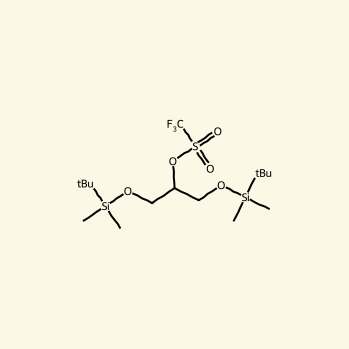 CC(C)(C)[Si](C)(C)OCC(CO[Si](C)(C)C(C)(C)C)OS(=O)(=O)C(F)(F)F